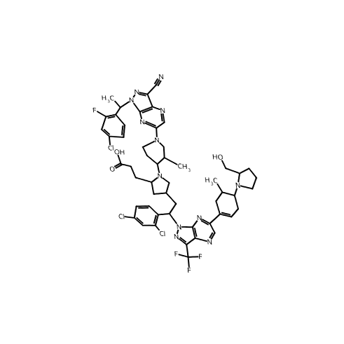 CC1CC(c2cnc3c(C(F)(F)F)nn(C(CC4CC(CCC(=O)O)N(C5CCN(c6cnc7c(C#N)nn(C(C)c8ccc(Cl)cc8F)c7n6)CC5C)C4)c4ccc(Cl)cc4Cl)c3n2)=CCC1N1CCCC1CO